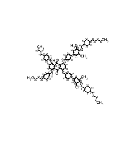 CCCCCC1CCC(COc2c(C)cc(-c3ccc(Sc4ccc(Sc5ccc(-c6cc(C)c(OCC7CCC(CCCCC)CC7)c(C)c6)cc5)c5c4C(=O)c4c(Nc6ccc(CCCC)cc6)ccc(Nc6ccc(CCCC)cc6)c4C5=O)cc3)cc2C)CC1